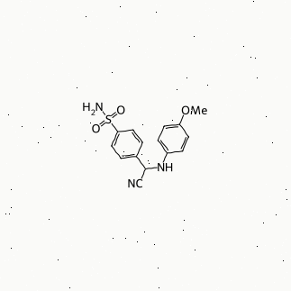 COc1ccc(NC(C#N)c2ccc(S(N)(=O)=O)cc2)cc1